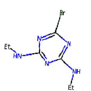 CCNc1nc(Br)nc(NCC)n1